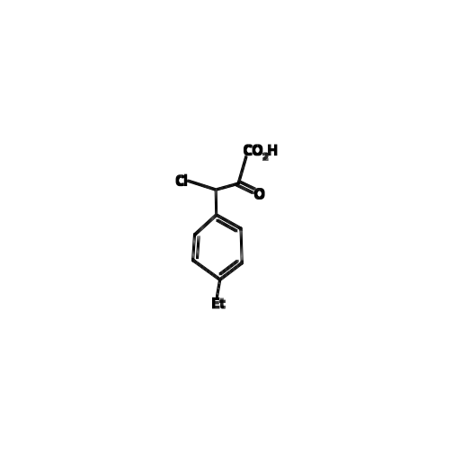 CCc1ccc(C(Cl)C(=O)C(=O)O)cc1